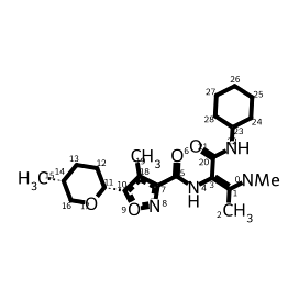 CN/C(C)=C(/NC(=O)c1noc([C@H]2CC[C@@H](C)CO2)c1C)C(=O)NC1CCCCC1